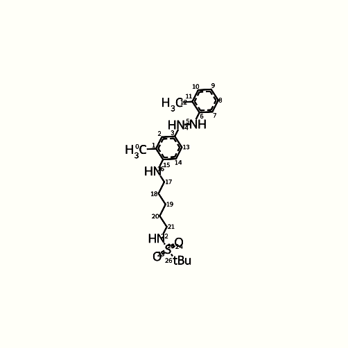 Cc1cc(NNc2ccccc2C)ccc1NCCCCCNS(=O)(=O)C(C)(C)C